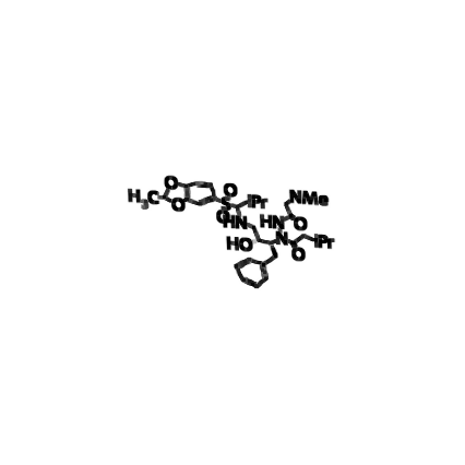 CNCC(=O)NN(C(=O)CC(C)C)[C@@H](Cc1ccccc1)[C@H](O)CNC(C(C)C)S(=O)(=O)c1ccc2c(c1)OC(C)O2